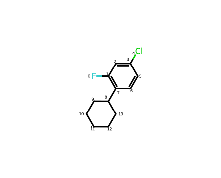 Fc1cc(Cl)ccc1C1CC[CH]CC1